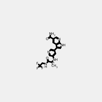 C[C@@H](Nc1cncc(-c2c[nH]c3ncc(C(N)=O)cc23)c1)C(=O)NCC(F)(F)F